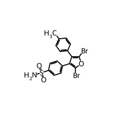 Cc1ccc(-c2c(Br)oc(Br)c2-c2ccc(S(N)(=O)=O)cc2)cc1